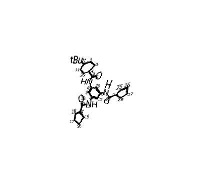 CC(C)(C)C1CCC(C(=O)Nc2cc(NC(=O)C3CCCC3)cc(NC(=O)C3CCCC3)c2)CC1